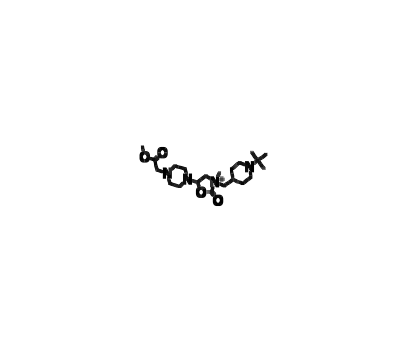 COC(=O)CN1CCN(C2C[N+](C)(CC3CCN(C(C)(C)C)CC3)C(=O)O2)CC1